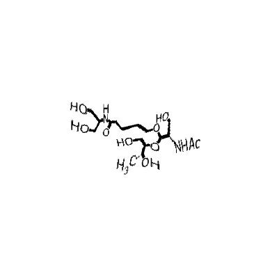 CC(=O)N[C@@H](CO)C(OCCCCC(=O)NC(CO)CO)OC(CO)[C@@H](C)O